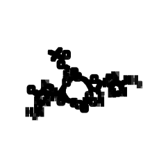 CC(C)(C)C(=O)OCSP1(=O)OCC2OC(n3cnc4c(N)ncnc43)C(F)C2OP(=O)(O)OCC2OC(n3cnc4c(=O)[nH]c(N)nc43)C(O1)C2O